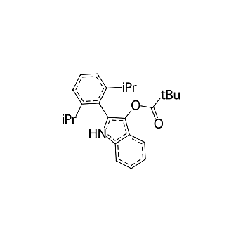 CC(C)c1cccc(C(C)C)c1-c1[nH]c2ccccc2c1OC(=O)C(C)(C)C